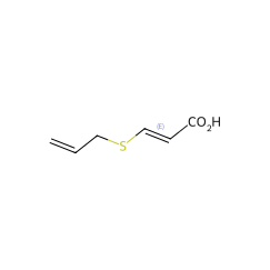 C=CCS/C=C/C(=O)O